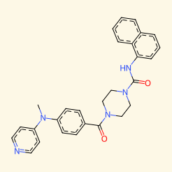 CN(c1ccncc1)c1ccc(C(=O)N2CCN(C(=O)Nc3cccc4ccccc34)CC2)cc1